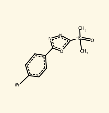 CC(C)c1ccc(-c2nnc([SH](C)(C)=O)o2)cc1